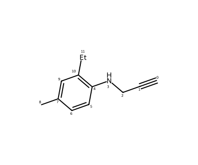 C#CCNc1ccc(C)cc1CC